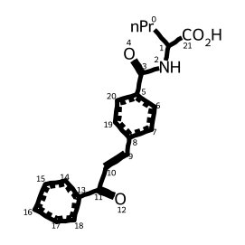 CCCC(NC(=O)c1ccc(/C=C/C(=O)c2ccccc2)cc1)C(=O)O